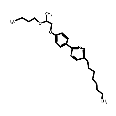 CCCCCCCCc1cnc(-c2ccc(OCC(C)OCCCC)cc2)nc1